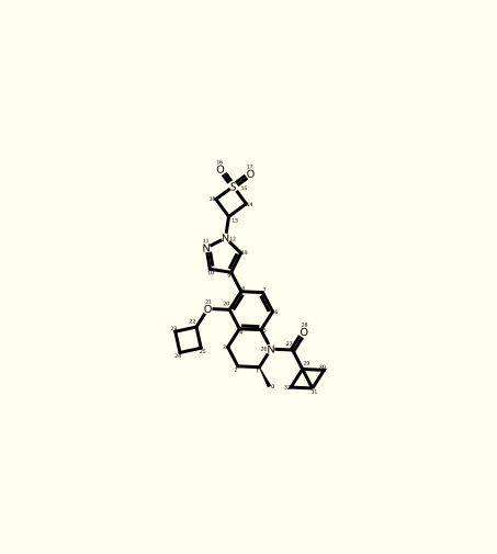 C[C@H]1CCc2c(ccc(-c3cnn(C4CS(=O)(=O)C4)c3)c2OC2CCC2)N1C(=O)C12CC1C2